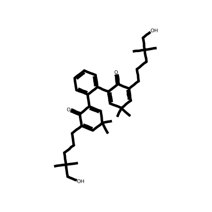 CC1(C)C=C(CCCC(C)(C)CO)C(=O)C(c2ccccc2C2=CC(C)(C)C=C(CCCC(C)(C)CO)C2=O)=C1